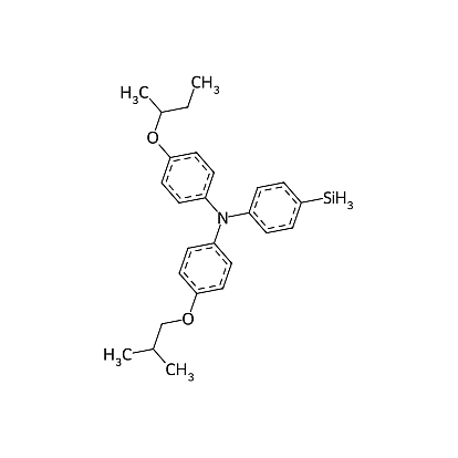 CCC(C)Oc1ccc(N(c2ccc([SiH3])cc2)c2ccc(OCC(C)C)cc2)cc1